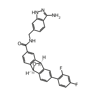 Nc1n[nH]c2cc(CNC(=O)c3ccc4c(c3)[C@@H]3O[C@H]4c4ccc(-c5ccc(F)cc5F)cc43)ccc12